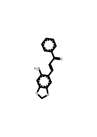 Nc1cc2c(cc1/C=C/C(=O)c1ccccc1)OCO2